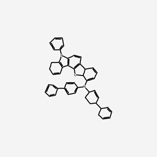 C1=CCC(C2C=CC(N(C3=CC=CC4c5ccc6c(c7c(n6-c6ccccc6)CCC=C7)c5OC34)c3ccc(-c4ccccc4)cc3)CC2)C=C1